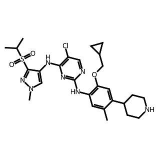 Cc1cc(Nc2ncc(Cl)c(Nc3cn(C)nc3S(=O)(=O)C(C)C)n2)c(OCC2CC2)cc1C1CCNCC1